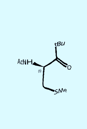 CSC[C@@H](NC(C)=O)C(=O)C(C)(C)C